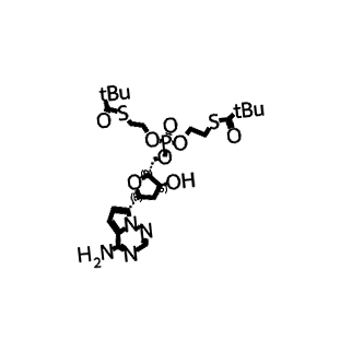 CC(C)(C)C(=O)SCCOP(=O)(OCCSC(=O)C(C)(C)C)OC[C@H]1O[C@@H](c2ccc3c(N)ncnn23)C[C@@H]1O